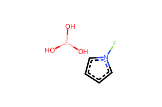 Fn1cccc1.OB(O)O